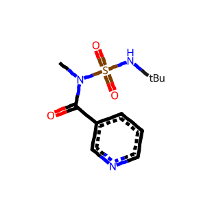 CN(C(=O)c1cccnc1)S(=O)(=O)NC(C)(C)C